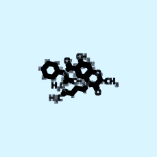 COCCCN1C(=O)[C@@H](C)Oc2cc(C)c(C(=O)N(C(C)C)C3CCCCC3)cc21